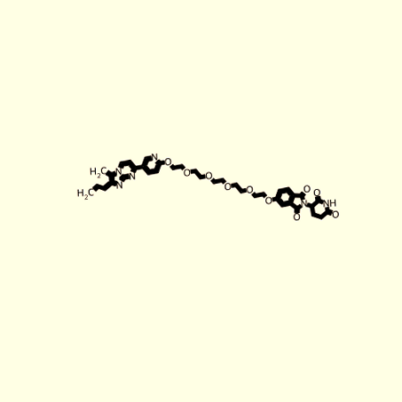 C=C/C=c1/nc2nc(-c3ccc(OCCOCCOCCOCCOCCOc4ccc5c(c4)C(=O)N(C4CCC(=O)NC4=O)C5=O)nc3)ccn2c1=C